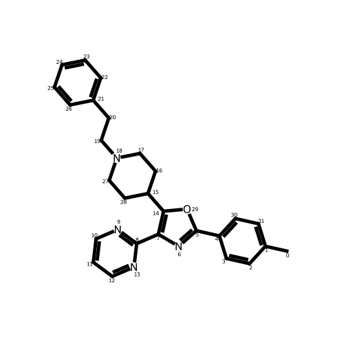 Cc1ccc(-c2nc(-c3ncccn3)c(C3CCN(CCc4ccccc4)CC3)o2)cc1